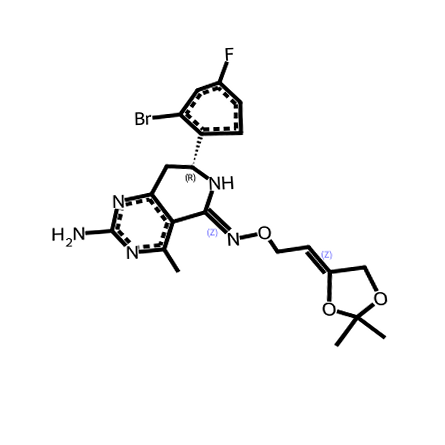 Cc1nc(N)nc2c1/C(=N/OC/C=C1/COC(C)(C)O1)N[C@@H](c1ccc(F)cc1Br)C2